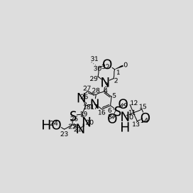 C[C@H]1CN(c2cc(S(=O)(=O)NC3(C)COC3)cn3c(-c4nnc(CO)s4)ncc23)C[C@H](C)O1